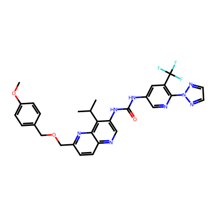 COc1ccc(COCc2ccc3ncc(NC(=O)Nc4cnc(-n5nccn5)c(C(F)(F)F)c4)c(C(C)C)c3n2)cc1